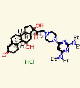 CCN(CC)c1cc(N2CCN(CC(=O)[C@@]3(O)CC[C@H]4[C@@H]5CCC6=CC(=O)CC[C@]6(C)[C@H]5[C@H](O)C[C@@]43C)CC2)nc(N(CC)CC)n1.Cl